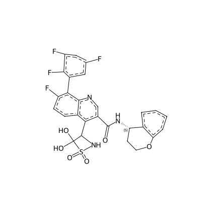 O=C(N[C@H]1CCOc2ccccc21)c1cnc2c(-c3cc(F)cc(F)c3F)c(F)ccc2c1C1NS(=O)(=O)C1(O)O